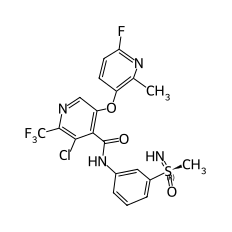 Cc1nc(F)ccc1Oc1cnc(C(F)(F)F)c(Cl)c1C(=O)Nc1cccc([S@](C)(=N)=O)c1